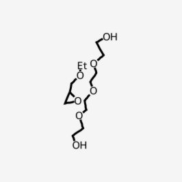 CCOCC1CO1.OCCOCCOCCOCCO